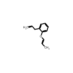 C=CCc1ccccc1OC=CC